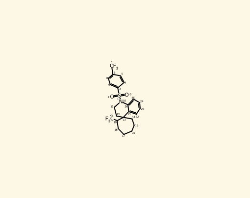 O=S(=O)(c1ccc(C(F)(F)F)cc1)N1CCC2(CCCCCC2C(F)(F)F)c2ccccc21